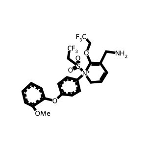 COc1ccccc1Oc1ccc([N+]2(S(=O)(=O)CC(F)(F)F)CC=CC(CN)=C2OCC(F)(F)F)cc1